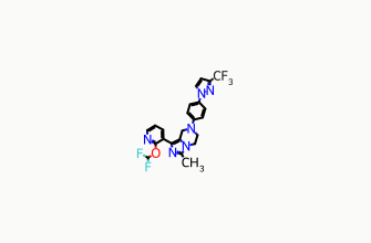 Cc1nc(-c2cccnc2OC(F)F)c2n1CCN(c1ccc(-n3ccc(C(F)(F)F)n3)cc1)C2